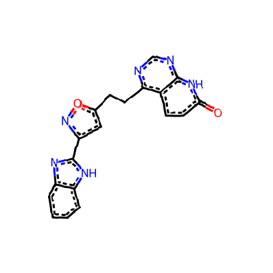 O=c1ccc2c(CCc3cc(-c4nc5ccccc5[nH]4)no3)ncnc2[nH]1